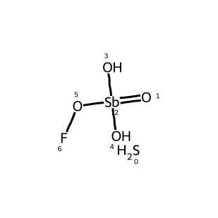 S.[O]=[Sb]([OH])([OH])[O]F